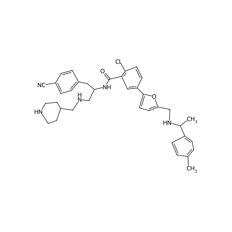 Cc1ccc(C(C)NCc2ccc(-c3ccc(Cl)c(C(=O)NC(CNCC4CCNCC4)Cc4ccc(C#N)cc4)c3)o2)cc1